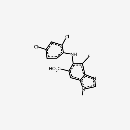 Cn1cnc2c(F)c(Nc3ccc(Cl)cc3Cl)c(C(=O)O)cc21